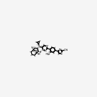 N#Cc1nc(-c2ccc(-c3ncc(N(C4CC4)[C@H]4C[C@@H]5CCC[C@@H](N5)[C@H]4F)nn3)c(O)c2)cs1